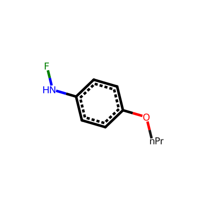 CCCOc1ccc(NF)cc1